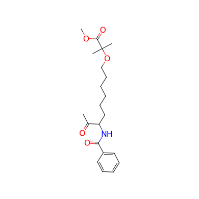 COC(=O)C(C)(C)OCCCCCCC(NC(=O)c1ccccc1)C(C)=O